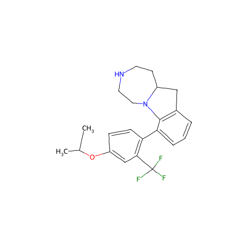 CC(C)Oc1ccc(-c2cccc3c2N2CCNCCC2C3)c(C(F)(F)F)c1